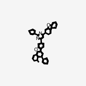 CC1CC=Cc2c1c(-c1ccccc1)cc1c2oc2cc(-c3cc(C4C=c5oc6ccccc6c5=CC4)nc(-c4ccccc4)n3)ccc21